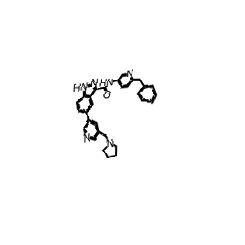 O=C(Nc1ccc(Cc2ccccc2)nc1)c1n[nH]c2ccc(-c3cncc(CN4CCCC4)c3)cc12